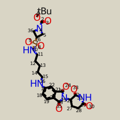 CC(C)(C)OC(=O)N1CC(S(=O)(=O)NCCCCCNc2ccc3c(c2)C(=O)N(C2CCC(=O)NC2=O)C3=O)C1